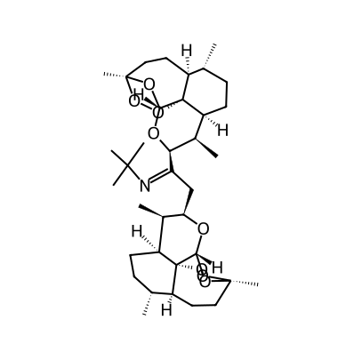 C[C@H]1[C@@H](/C(C[C@H]2O[C@@H]3O[C@]4(C)CC[C@H]5[C@H](C)CC[C@@H]([C@H]2C)[C@@]35OO4)=N\C(C)(C)C)O[C@@H]2O[C@]3(C)CC[C@H]4[C@H](C)CC[C@@H]1[C@@]24OO3